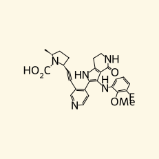 COc1c(F)cccc1Nc1c(-c2ccncc2C#C[C@@H]2CC[C@H](C)N2C(=O)O)[nH]c2c1C(=O)NCC2